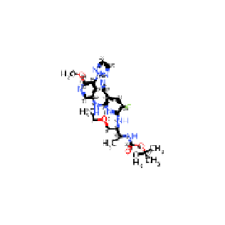 CCOC[C@@H](Nc1nc(Nc2cnc(OC)c(-n3nccn3)c2)c(C#N)cc1F)[C@H](C)NC(=O)OC(C)(C)C